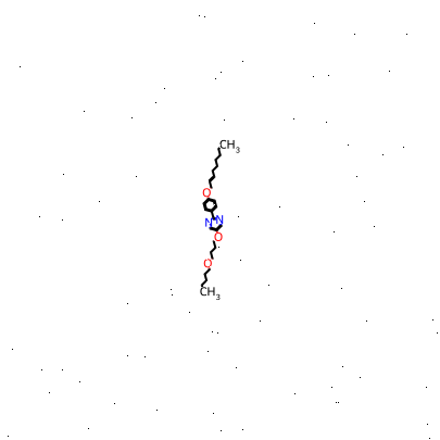 CCCCCC/C=C/COc1ccc(-c2ncc(OCCCCOCCCCC)cn2)cc1